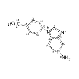 Nc1ccc2c(c1)ncn2-c1ccc(C(=O)O)cc1